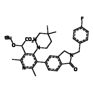 Cc1nc(C)c(C(OC(C)(C)C)C(=O)O)c(N2CCC(C)(C)CC2)c1-c1ccc2c(c1)CN(Cc1ccc(F)cc1)C2=O